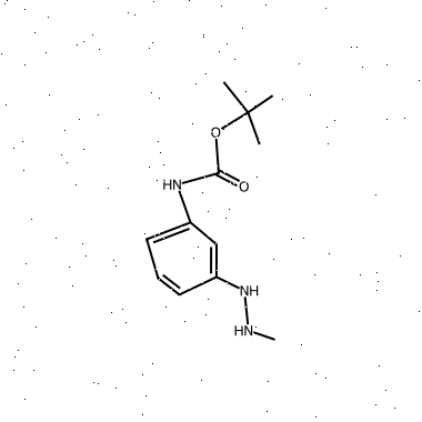 CNNc1cccc(NC(=O)OC(C)(C)C)c1